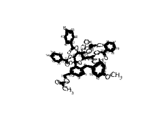 COc1ccc(Cc2ccc(COC(C)=O)cc2[C@@]2(O)O[C@H]([C@H](C)OC(=O)c3ccccc3)[C@@](C)(OC(C)=O)[C@H](OC(=O)c3ccccc3)[C@H]2OC(=O)c2ccccc2)cc1